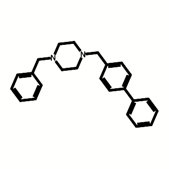 c1ccc(CN2CCN(Cc3ccc(-c4ccccc4)cc3)CC2)cc1